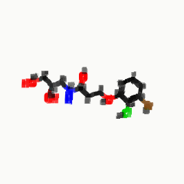 O=C(CCOc1cccc(Br)c1Cl)NCC(O)CO